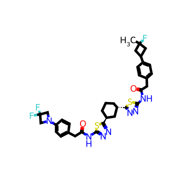 CC1(F)CC(c2ccc(CC(=O)Nc3nnc([C@H]4CCC[C@H](c5nnc(NC(=O)Cc6ccc(N7CC(F)(F)C7)cc6)s5)C4)s3)cc2)C1